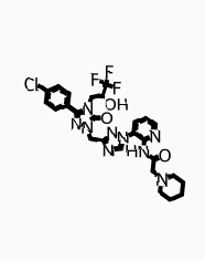 O=C(CN1CCCCC1)Nc1ncccc1-n1cnc(Cn2nc(-c3ccc(Cl)cc3)n(C[C@H](O)C(F)(F)F)c2=O)n1